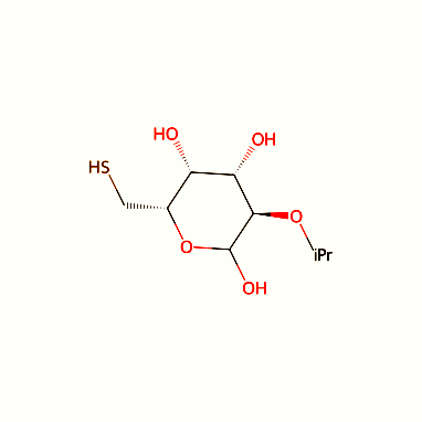 CC(C)O[C@H]1C(O)O[C@H](CS)[C@H](O)[C@@H]1O